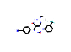 CCN1CC2=C(C(=O)N1)[C@@H](c1ccc(C#N)cc1)NC(=O)N2c1cccc(C(F)(F)F)c1